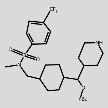 CCCCOC(C1CCNCC1)C1CCC(CN(C)S(=O)(=O)c2ccc(C(F)(F)F)cc2)CC1